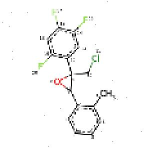 Cc1ccccc1C1OC1(CCl)c1cc(F)c(F)cc1F